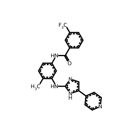 Cc1ccc(NC(=O)c2cccc(C(F)(F)F)c2)cc1Nc1ncc(-c2ccncc2)[nH]1